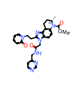 COC(=O)N1c2ccc3c(nc(CCn4ccccc4=O)n3CC(=O)NCc3ccncn3)c2CC[C@@H]1C